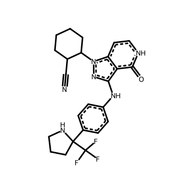 N#CC1CCCCC1n1nc(Nc2ccc(C3(C(F)(F)F)CCCN3)cc2)c2c(=O)[nH]ccc21